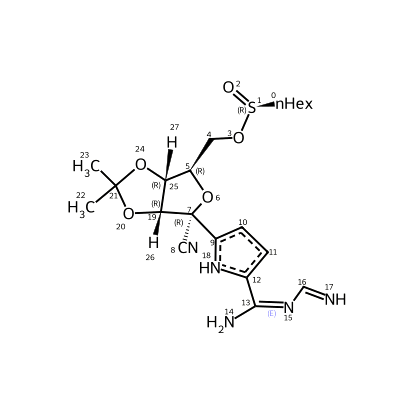 CCCCCC[S@](=O)OC[C@H]1O[C@@](C#N)(c2ccc(/C(N)=N\C=N)[nH]2)[C@@H]2OC(C)(C)O[C@@H]21